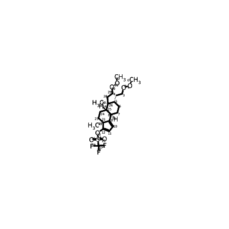 COOCC[C@@H]1CC[C@H]2C3=CC=C(OS(=O)(=O)C(F)(F)F)[C@@]3(C)CC[C@@H]2[C@@]1(C)CCOOC